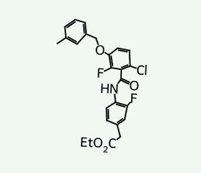 CCOC(=O)Cc1ccc(NC(=O)c2c(Cl)ccc(OCc3cccc(C)c3)c2F)c(F)c1